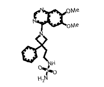 COc1cc2ncnc(N3CC(CCNS(N)(=O)=O)(c4ccccc4)C3)c2cc1OC